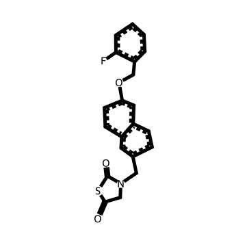 O=C1CN(Cc2ccc3cc(OCc4ccccc4F)ccc3c2)C(=O)S1